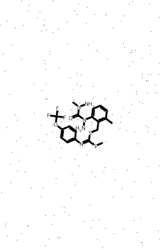 CS/C(=N/c1ccc(OC(F)(F)F)cc1)SCc1c(C)cccc1N(N)C(=O)N(C)N